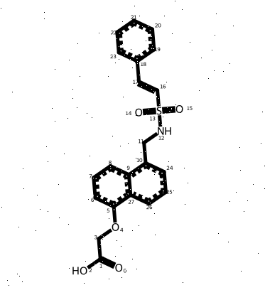 O=C(O)COc1cccc2c(CNS(=O)(=O)C=Cc3ccccc3)cccc12